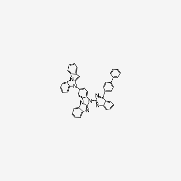 c1ccc(-c2ccc(-c3nc(-n4c5ccc(-n6c7ccccc7n7c8ccccc8cc67)cc5n5c6ccccc6nc45)nc4ccccc34)cc2)cc1